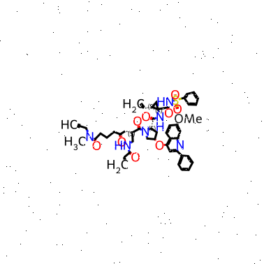 C#CCN(C)C(=O)CCCC(=O)C[C@@H](CNC(=O)C=C)C(=O)N1CC(Oc2cc(-c3ccccc3)nc3cc(OC)ccc23)C[C@H]1C(=O)N[C@]1(C(=O)NS(=O)(=O)c2ccccc2)C[C@H]1C=C